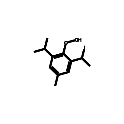 Cc1cc(C(C)C)c(OO)c(C(C)I)c1